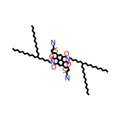 CCCCCCCCCCCCC(CCCCCCCCCC)CCCCCN1C(=O)c2cc(-c3ccc(C#N)s3)c3c4c(cc(-c5ccc(C#N)s5)c(c24)C1=O)C(=O)N(CCCCCC(CCCCCCCCCC)CCCCCCCCCCCC)C3=O